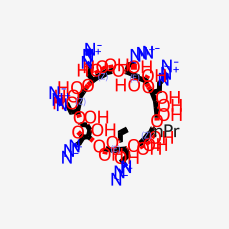 C=CCO/C1=C(/O)C(CCN=[N+]=[N-])OC(O)/C(O)=C(/O)C(CCC)OC(O)C(O)C(O)C(CCN=[N+]=[N-])OC(O)/C(O)=C(\O)C(CCN=[N+]=[N-])OC(O)/C(O)=C(/O)C(CCN=[N+]=[N-])OC(O)/C(O)=C(/O)C(CCN=[N+]=[N-])OC2OC(CN=[N+]=[N-])C(OC1O)C(O)C2O